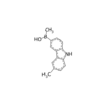 CB(O)c1ccc2[nH]c3ccc(C)cc3c2c1